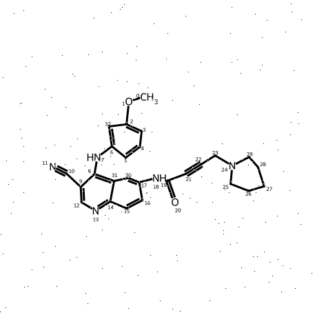 COc1cccc(Nc2c(C#N)cnc3ccc(NC(=O)C#CCN4CCCCC4)cc23)c1